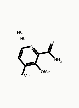 COc1ccnc(C(N)=O)c1OC.Cl.Cl